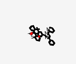 CC1(C)c2ccccc2C2(c3ccccc3Sc3ccccc32)c2ccc(-c3nc(-c4ccccc4)cc(-c4ccccn4)n3)cc21